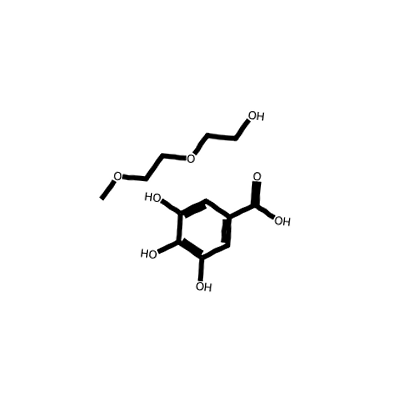 COCCOCCO.O=C(O)c1cc(O)c(O)c(O)c1